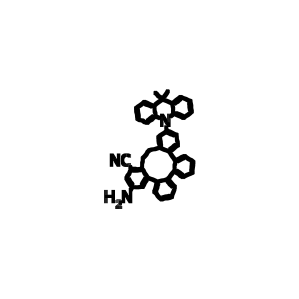 CC1(C)c2ccccc2N(c2ccc3c(c2)CCc2c(C#N)cc(N)cc2-c2ccccc2-c2ccccc2-3)c2ccccc21